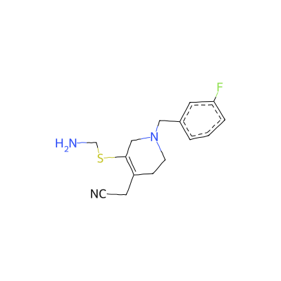 N#CCC1=C(SCN)CN(Cc2cccc(F)c2)CC1